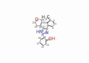 Cc1cccc(-c2nc(-c3ccccc3O)[nH]c2C2=CCOCC2)c1